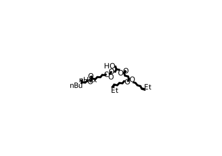 CC/C=C\CCCCOC(CCC(=O)OCC(CO)COC(=O)CCCCCCC(=O)OCCC(CCCC)CCCCCC)OCCCC/C=C\CC